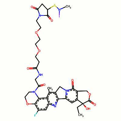 CC[C@@]1(O)C(=O)OCc2c1cc1n(c2=O)Cc2c-1nc1cc(F)c3c(c1c2C)N(C(=O)CNC(=O)CCOCCOCCN1C(=O)CC(SN(C)I)C1=O)CCO3